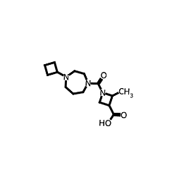 CC1C(C(=O)O)CN1C(=O)N1CCCN(C2CCC2)CC1